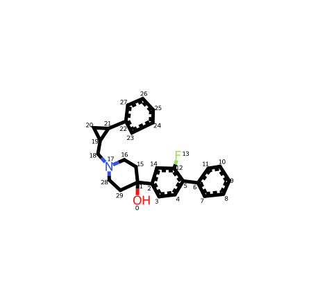 OC1(c2ccc(-c3ccccc3)c(F)c2)CCN(CC2CC2c2ccccc2)CC1